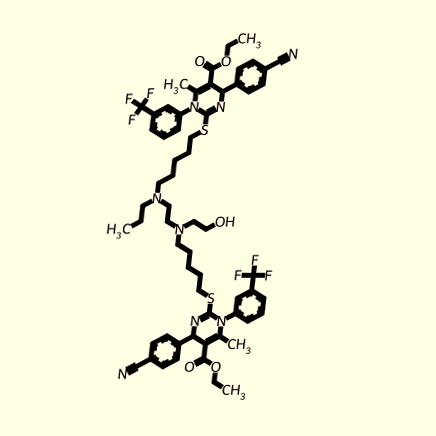 CCCN(CCCCCSC1=NC(c2ccc(C#N)cc2)C(C(=O)OCC)=C(C)N1c1cccc(C(F)(F)F)c1)CCN(CCO)CCCCCSC1=NC(c2ccc(C#N)cc2)C(C(=O)OCC)=C(C)N1c1cccc(C(F)(F)F)c1